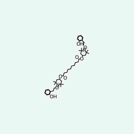 CC1(C)CC(OC(=O)CCCCCCCCC(=O)OC2CC(C)(C)N(OCCc3ccccc3O)C(C)(C)C2)CC(C)(C)N1OCCc1ccccc1O